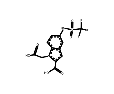 O=C(O)Cn1c(C(=O)O)cc2cc(NS(=O)(=O)C(F)(F)F)ccc21